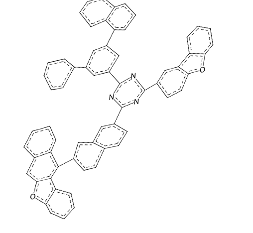 c1ccc(-c2cc(-c3nc(-c4ccc5ccc(-c6c7ccccc7cc7oc8ccccc8c67)cc5c4)nc(-c4ccc5oc6ccccc6c5c4)n3)cc(-c3cccc4ccccc34)c2)cc1